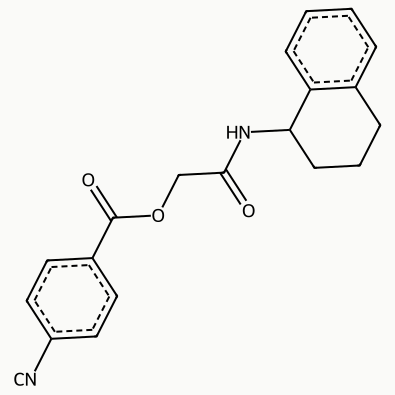 [C-]#[N+]c1ccc(C(=O)OCC(=O)NC2CCCc3ccccc32)cc1